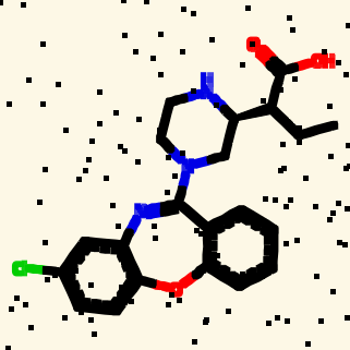 CCC(C(=O)O)[C@H]1CN(C2=Nc3cc(Cl)ccc3Oc3ccccc32)CCN1